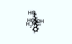 CC(C1CCCCC1)[C@H](N)[C@@H](O)[C@@H](O)CCCO